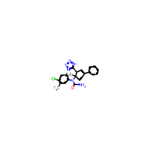 NC(=O)N(c1ccc(Cl)c(C(F)(F)F)c1)C1(C(F)(F)F)C=CC(c2ccccc2)=CC1c1nnn[nH]1